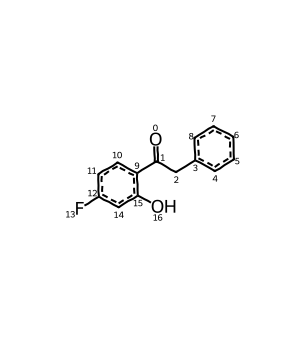 O=C(Cc1ccccc1)c1ccc(F)cc1O